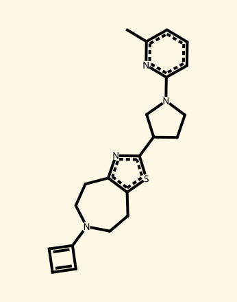 Cc1cccc(N2CCC(c3nc4c(s3)CCN(C3=CC=C3)CC4)C2)n1